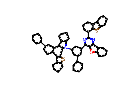 c1ccc(-c2cc(-c3nc(-c4cccc5c4sc4ccccc45)nc4c3oc3ccccc34)cc(-n3c4ccccc4c4c5cc(-c6ccccc6)ccc5c5c6ccccc6sc5c43)c2)cc1